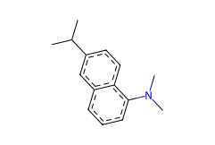 CC(C)c1ccc2c(N(C)C)cccc2c1